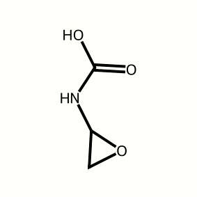 O=C(O)NC1CO1